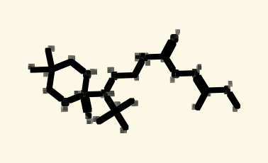 CS/C(C)=N/OC(=O)NCSN(C(C)(C)C)P1(=S)OCC(C)(C)CO1